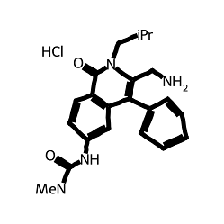 CNC(=O)Nc1ccc2c(=O)n(CC(C)C)c(CN)c(-c3ccccc3)c2c1.Cl